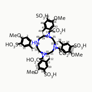 COc1ccc(C[C@H]2CN(CC(=O)O)[C@@H](Cc3ccc(OC)c(S(=O)(=O)O)c3)CN(CC(=O)O)[C@@H](Cc3ccc(OC)c(S(=O)(=O)O)c3)CN(CC(=O)O)[C@@H](Cc3ccc(OC)c(S(=O)(=O)O)c3)CN2)cc1S(=O)(=O)O